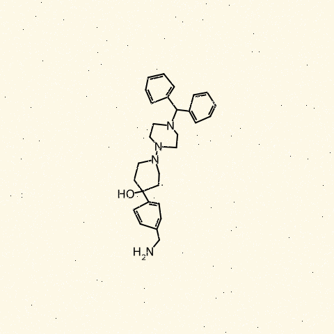 NCc1ccc(C2(O)[CH]CN(N3CCN(C(c4ccccc4)c4ccccc4)CC3)CC2)cc1